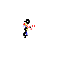 Cc1ccc(-c2cc(NS(=O)(=O)c3ccccc3C)c(OC(=O)O)s2)nc1